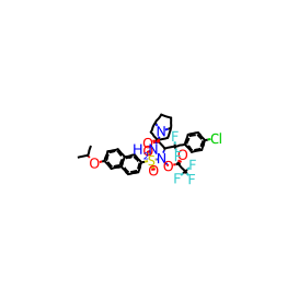 CC(C)Oc1ccc2cc(S(=O)(=O)N(OC(=O)C(F)(F)F)[C@@H](C(=O)N3C4CCC3CC(N)C4)C(F)(F)c3ccc(Cl)cc3)ccc2c1